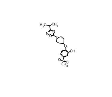 CC(C)c1noc(N2CCC(Oc3ccc(S(C)(=O)=O)cc3O)CC2)n1